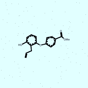 C=CCc1c(O)cccc1Oc1ccc(C(=O)OC)cc1